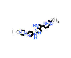 Cc1cn2nc(-c3c[nH]c4nc(Nc5ccc(N6CCN(C)CC6)nc5)ncc34)ccc2n1